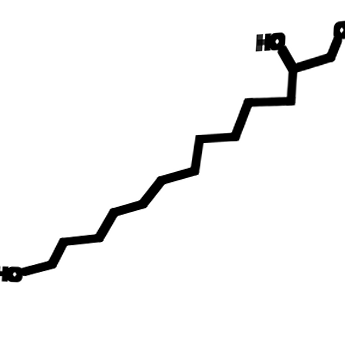 OCCCCCCCCCCCC(O)CO